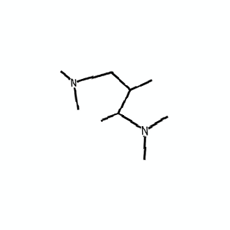 CC(CN(C)C)C(C)N(C)C